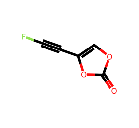 O=c1occ(C#CF)o1